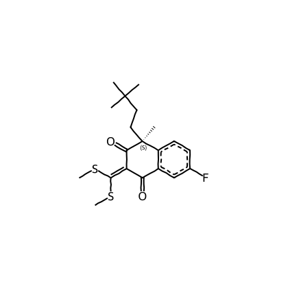 CSC(SC)=C1C(=O)c2cc(F)ccc2[C@](C)(CCC(C)(C)C)C1=O